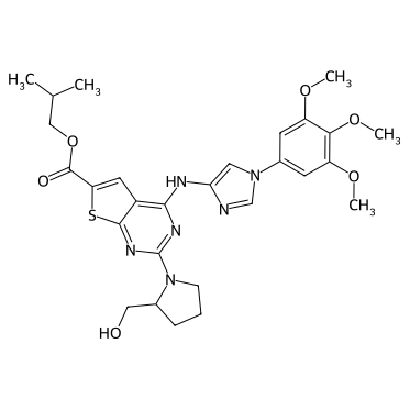 COc1cc(-n2cnc(Nc3nc(N4CCCC4CO)nc4sc(C(=O)OCC(C)C)cc34)c2)cc(OC)c1OC